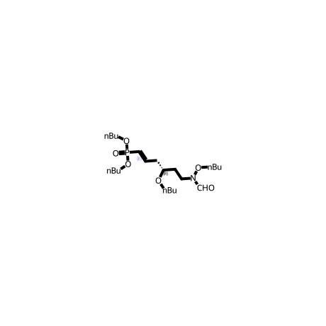 CCCCO[C@H](C/C=C/P(=O)(OCCCC)OCCCC)CCN(C=O)OCCCC